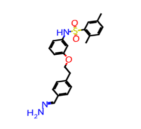 Cc1ccc(C)c(S(=O)(=O)Nc2cccc(OCCc3ccc(C=NN)cc3)c2)c1